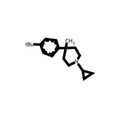 CC(C)(C)c1ccc(C2(C)CCN(C3CC3)CC2)cc1